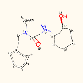 CCCCCCN(Cc1ccccc1)C(=O)N[C@H]1CCCC[C@@H]1O